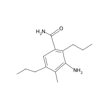 CCCc1cc(C(N)=O)c(CCC)c(N)c1C